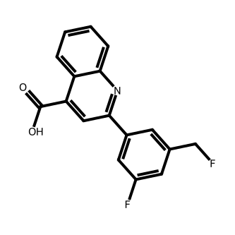 O=C(O)c1cc(-c2cc(F)cc(CF)c2)nc2ccccc12